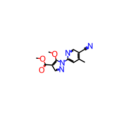 COC(=O)c1cnn(-c2cc(C)c(C#N)cn2)c1OC